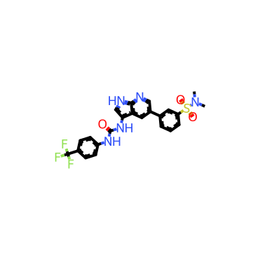 CN(C)S(=O)(=O)c1cccc(-c2cnc3[nH]cc(NC(=O)Nc4ccc(C(F)(F)F)cc4)c3c2)c1